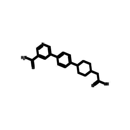 NC(=O)c1cncc(-c2ccc(C3CCC(CC(=O)O)CC3)cc2)c1